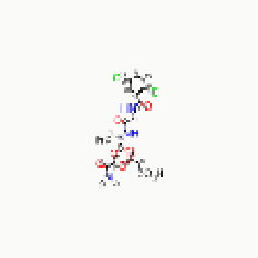 CC(C)C[C@H](NC(=O)CNC(=O)c1cc(Cl)ccc1Cl)B(OCC(=O)N(C)C)OC(=O)CC(=O)O